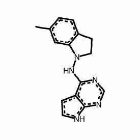 Cc1ccc2c(c1)N(Nc1ncnc3[nH]ccc13)CC2